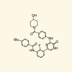 CC(C)(C)c1ccc(C(=O)Nc2cccc(-c3c[nH]c(=O)c(Nc4ccc(C(=O)N5CCC(O)CC5)cc4)n3)c2F)cc1